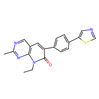 CCn1c(=O)c(-c2ccc(-c3cncs3)cc2)cc2cnc(C)nc21